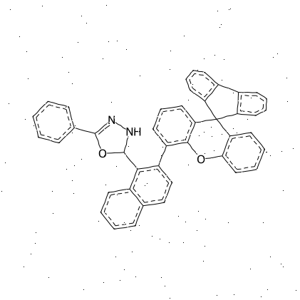 c1ccc(C2=NNC(c3c(-c4cccc5c4Oc4ccccc4C54c5ccccc5-c5ccccc54)ccc4ccccc34)O2)cc1